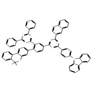 CC1(C)Oc2cc(-c3ccc(-c4nc(-c5ccc(-n6c7ccccc7c7ccccc76)cc5)nc(-c5ccc6ccccc6c5)n4)cc3-c3nc(-c4ccccc4)nc(-c4ccccc4)n3)ccc2-c2ccccc21